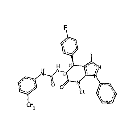 CCN1C(=O)[C@H](NC(=O)Nc2cccc(C(F)(F)F)c2)[C@@H](c2ccc(F)cc2)c2c(C)nn(-c3ccccc3)c21